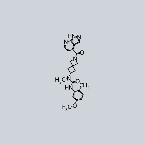 Cc1ccc(OC(F)(F)F)cc1NC(=O)N(C)C1CC2(C1)CN(C(=O)c1ccnc3[nH]ncc13)C2